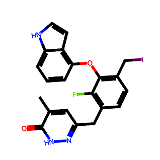 Cc1cc(Cc2ccc(CI)c(Oc3cccc4[nH]ccc34)c2F)n[nH]c1=O